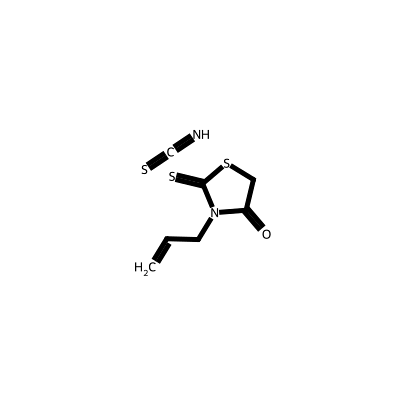 C=CCN1C(=O)CSC1=S.N=C=S